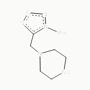 CC(C)(C)n1nnnc1CN1CCNCC1